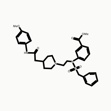 COC(=O)c1cccc(N(CCN2CCC(CC(=O)Nc3ccc(OC)cc3)CC2)S(=O)(=O)Cc2ccccc2)c1